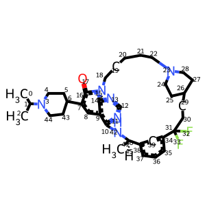 CC(C)N1CCC(c2cc3c4ncnc3n(c2=O)CCCCCN2CCC(CC2)CCC(F)(F)c2cccc(c2)[C@@H](C)N4)CC1